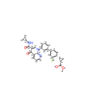 COC(=O)[C@@H]1C[C@H]1c1ccc(-c2cccc(-n3cc(C(=O)NC4CC4)c(=O)c4cccnc43)c2)cc1F